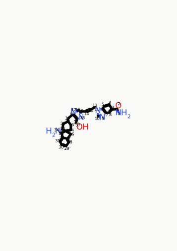 NC(=O)c1ccc2c(c1)ncn2CC#Cc1cnc(CC2CCC3(CC2)Cc2ccccc2[C@H]3N)c(CO)n1